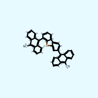 N#Cc1c2ccccc2c(-c2ccc3c(c2)sc2c(-c4c5ccccc5c(C#N)c5ccccc45)cccc23)c2ccccc12